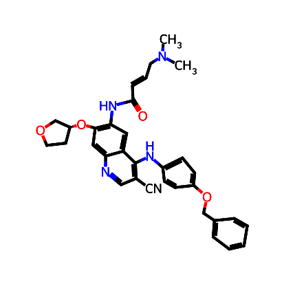 CN(C)CC=CC(=O)Nc1cc2c(Nc3ccc(OCc4ccccc4)cc3)c(C#N)cnc2cc1O[C@H]1CCOC1